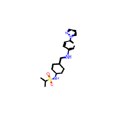 C=C(/C=C\C(=C/C)NCC1CCC(NS(=O)(=O)C(C)C)CC1)n1cccn1